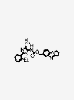 CCc1ccccc1-c1nc(C)c(NC(=O)OCc2ccc3c(c2)nc2n3CCC2)s1